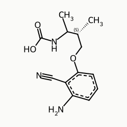 CC(NC(=O)O)[C@H](C)COc1cccc(N)c1C#N